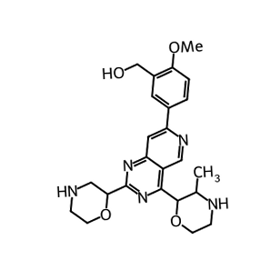 COc1ccc(-c2cc3nc(C4CNCCO4)nc(C4OCCNC4C)c3cn2)cc1CO